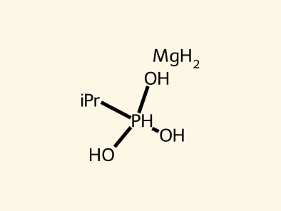 CC(C)[PH](O)(O)O.[MgH2]